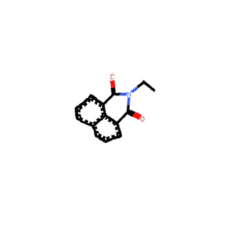 CCN1C(=O)c2cccc3cccc(c23)C1=O